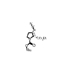 CCOC(=O)[C@H]1[C@H](N=[N+]=[N-])CCN1C(=O)OC(C)(C)C